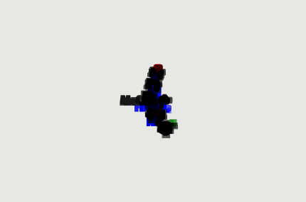 C=CC(=O)Nc1cc(N/C(=C/C(=N)N2OCC[C@@H]2Cc2cccc(F)c2)NN)c(OC)cc1N1CCC(N2CCOCC2)CC1